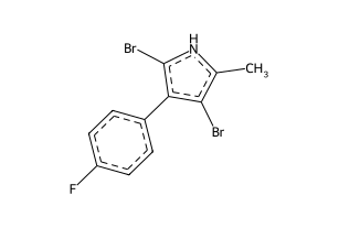 Cc1[nH]c(Br)c(-c2ccc(F)cc2)c1Br